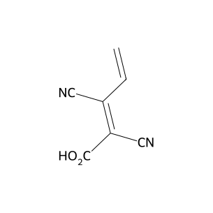 C=C/C(C#N)=C(\C#N)C(=O)O